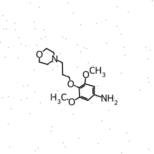 COc1cc(N)cc(OC)c1OCCCN1CCOCC1